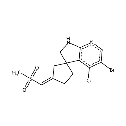 CS(=O)(=O)C=C1CCC2(CNc3ncc(Br)c(Cl)c32)C1